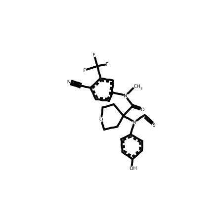 CN(C(=O)C1(N(C=S)c2ccc(O)cc2)CCOCC1)c1ccc(C#N)c(C(F)(F)F)c1